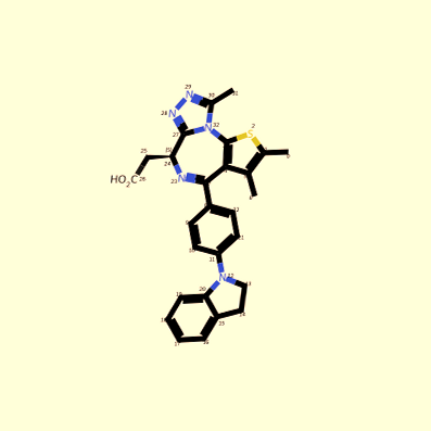 Cc1sc2c(c1C)C(c1ccc(N3CCc4ccccc43)cc1)=N[C@@H](CC(=O)O)c1nnc(C)n1-2